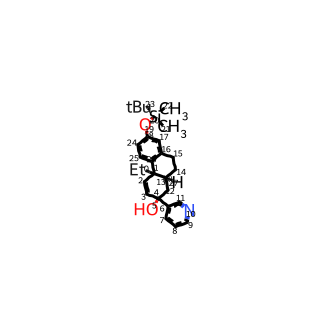 CCC12C=CC(O)(c3cccnc3)C[C@H]1CCc1cc(O[Si](C)(C)C(C)(C)C)ccc12